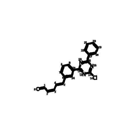 O=C/C=C\C=C\c1cccc(-c2nc(Cl)nc(-c3ccccc3)n2)c1